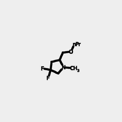 CCCOCC1CC(F)(F)CN1C